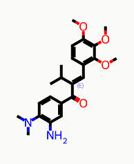 COc1ccc(/C=C(/C(=O)c2ccc(N(C)C)c(N)c2)C(C)C)c(OC)c1OC